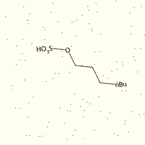 CCCCCCCOS(=O)(=O)O